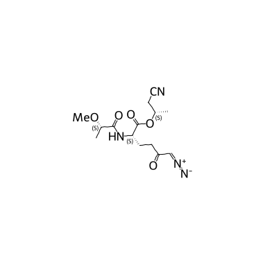 CO[C@@H](C)C(=O)N[C@@H](CCC(=O)C=[N+]=[N-])C(=O)O[C@@H](C)CC#N